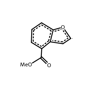 COC(=O)c1cccc2o[c]cc12